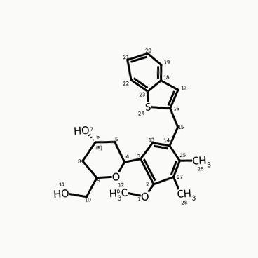 COc1c(C2C[C@@H](O)CC(CO)O2)cc(Cc2cc3ccccc3s2)c(C)c1C